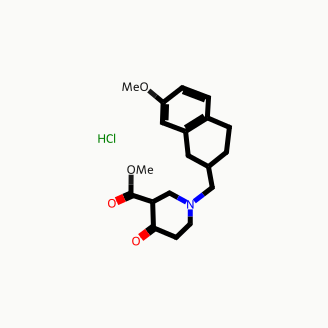 COC(=O)C1CN(CC2CCc3ccc(OC)cc3C2)CCC1=O.Cl